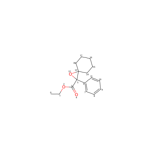 CCOC(=O)C1(c2ccccc2)OC12CCCCC2